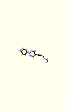 CCCCC#Cc1cnc(-c2ccc(F)cc2)nc1